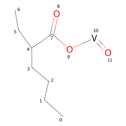 CCCCC(CC)C(=O)[O][V]=[O]